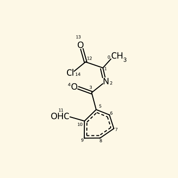 CC(=NC(=O)c1ccccc1C=O)C(=O)Cl